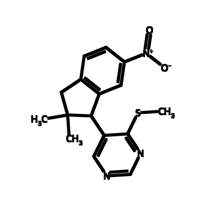 CSc1ncncc1C1c2cc([N+](=O)[O-])ccc2CC1(C)C